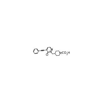 O=C(O)N1CCC(Cn2nccc(C#Cc3ccccc3)c2=O)CC1